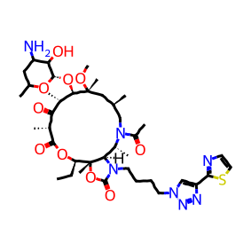 CC[C@H]1OC(=O)[C@H](C)C(=O)[C@H](C)[C@@H](O[C@@H]2OC(C)CC(N)C2O)[C@](C)(OC)C[C@@H](C)CN(C(C)=O)[C@H](C)[C@H]2N(CCCCn3cc(-c4nccs4)nn3)C(=O)O[C@]12C